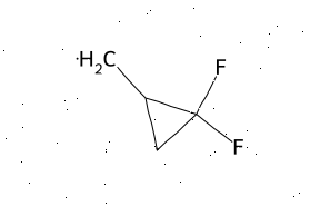 [CH2]C1CC1(F)F